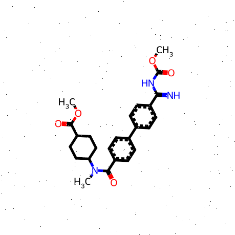 COC(=O)NC(=N)c1ccc(-c2ccc(C(=O)N(C)C3CCC(C(=O)OC)CC3)cc2)cc1